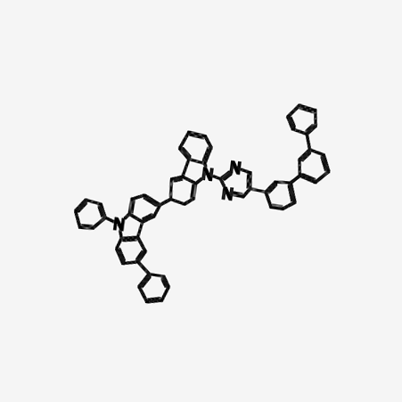 C1=c2c(n(-c3ncc(-c4cccc(-c5cccc(-c6ccccc6)c5)c4)cn3)c3ccccc23)=CCC1c1ccc2c(c1)c1cc(-c3ccccc3)ccc1n2-c1ccccc1